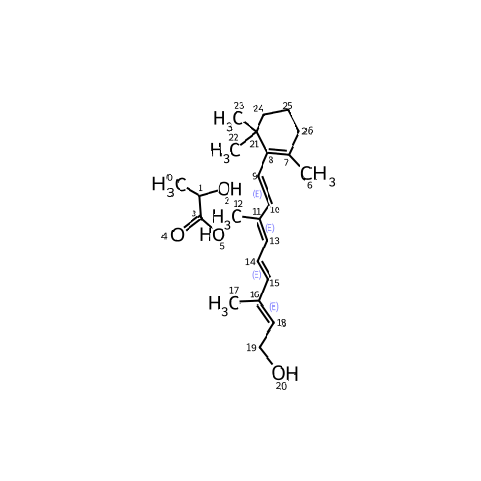 CC(O)C(=O)O.CC1=C(/C=C/C(C)=C/C=C/C(C)=C/CO)C(C)(C)CCC1